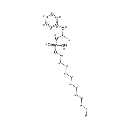 CCCCCCCCCCCCOP(=O)(O)OC(C)Oc1ccccc1